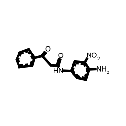 Nc1ccc(NC(=O)CC(=O)c2ccccc2)cc1[N+](=O)[O-]